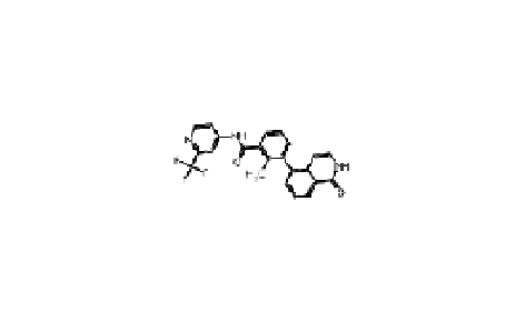 Cc1c(C(=O)Nc2ccnc(C(F)(F)F)c2)cccc1-c1cccc2c(=O)[nH]ccc12